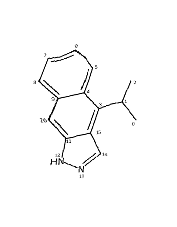 CC(C)c1c2ccccc2cc2[nH]ncc12